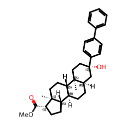 COC(=O)[C@H]1CC[C@H]2[C@@H]3CC[C@@H]4C[C@](O)(c5ccc(-c6ccccc6)cc5)CC[C@]4(C)[C@H]3CC[C@]12C